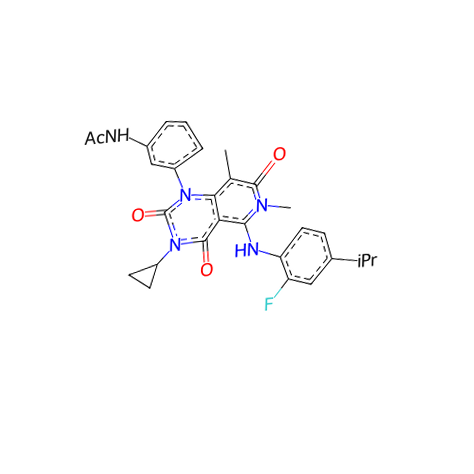 CC(=O)Nc1cccc(-n2c(=O)n(C3CC3)c(=O)c3c(Nc4ccc(C(C)C)cc4F)n(C)c(=O)c(C)c32)c1